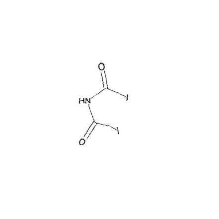 O=C(I)NC(=O)I